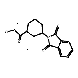 O=C(CCl)C1CCCC(N2C(=O)c3ccccc3C2=O)C1